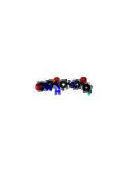 O=C(NC1CCC(CCN2CCC(C(=O)c3ccc(F)cc3)CC2)CC1)c1ccc(N2CCOCC2)nc1